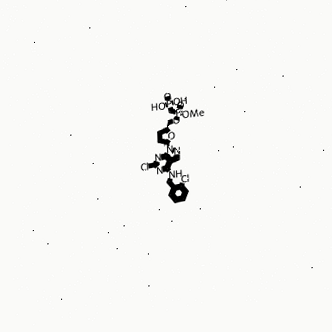 COP(=O)(CP(=O)(O)O)OC[C@@H]1CC[C@H](n2ncc3c(NCc4ccccc4Cl)nc(Cl)nc32)O1